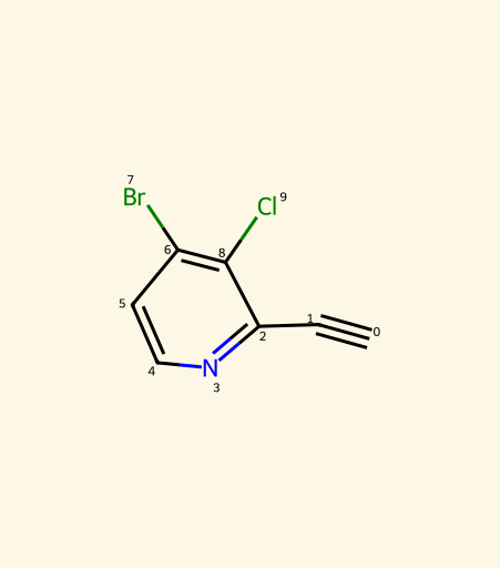 C#Cc1nccc(Br)c1Cl